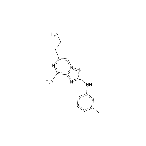 Cc1cccc(Nc2nc3c(N)nc(CCN)cn3n2)c1